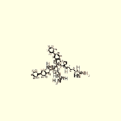 N=C(N)NCCCCNC(=O)CN(Cc1ccc(-c2ccccc2)cc1)C(=O)[C@H](CCCNC(=N)N)NC(=O)[C@@H](N)Cc1ccc(-c2ccccc2)cc1